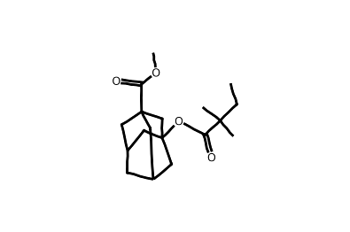 CCC(C)(C)C(=O)OC12CC3CC(C1)CC(C(=O)OC)(C3)C2